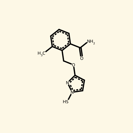 Cc1cccc(C(N)=O)c1COc1ccn(S)n1